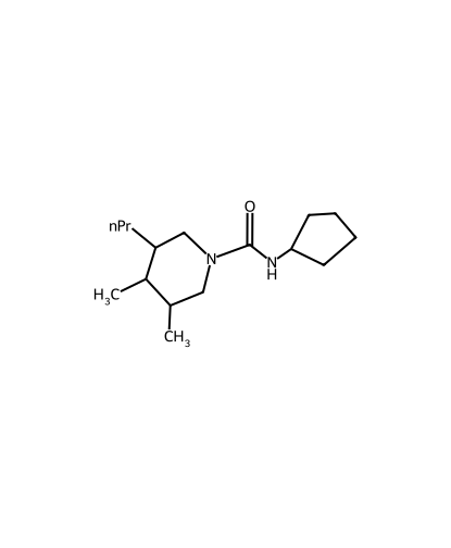 CCCC1CN(C(=O)NC2CCCC2)CC(C)C1C